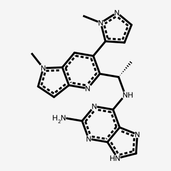 C[C@H](Nc1nc(N)nc2[nH]cnc12)c1nc2ccn(C)c2cc1-c1ccnn1C